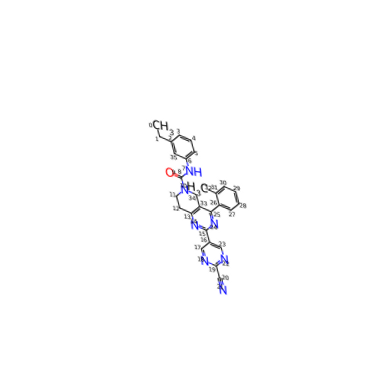 CCc1cccc(NC(=O)N2CCc3nc(-c4cnc(C#N)nc4)nc(-c4ccccc4C)c3C2)c1